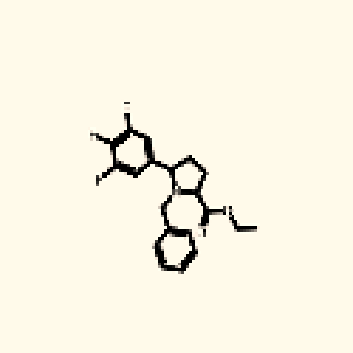 CCOC(=O)C1CCC(c2cc(F)c(F)c(F)c2)N1Cc1ccccc1